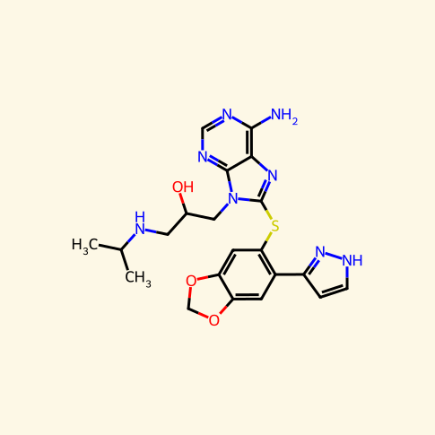 CC(C)NCC(O)Cn1c(Sc2cc3c(cc2-c2cc[nH]n2)OCO3)nc2c(N)ncnc21